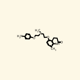 Cc1ccc(OCCN(C)CCOc2ccc(N)cc2)c2c1NC(=O)CC2